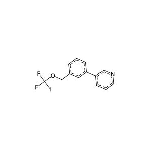 FC(F)(I)OCc1cccc(-c2cccnc2)c1